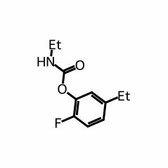 CCNC(=O)Oc1cc(CC)ccc1F